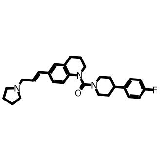 O=C(N1CCC(c2ccc(F)cc2)CC1)N1CCCc2cc(/C=C/CN3CCCC3)ccc21